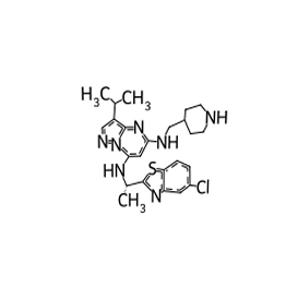 CC(C)c1cnn2c(N[C@@H](C)c3nc4cc(Cl)ccc4s3)cc(NCC3CCNCC3)nc12